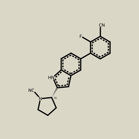 N#Cc1cccc(-c2ccc3[nH]c([C@@H]4CCCN4C#N)cc3c2)c1F